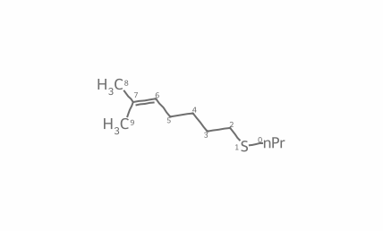 [CH2]CCSCCCCC=C(C)C